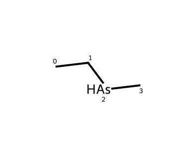 CC[AsH]C